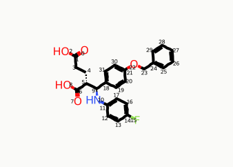 O=C(O)CC[C@@H](C(=O)O)[C@H](Nc1ccc(F)cc1)c1ccc(OCc2ccccc2)cc1